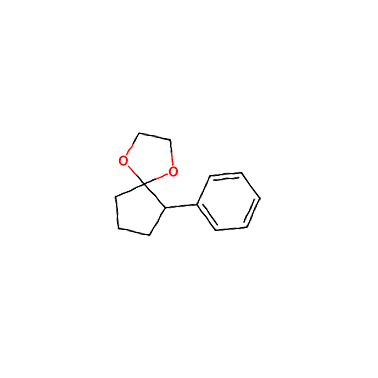 c1ccc(C2CCCC23OCCO3)cc1